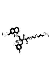 CCCCOCCOCC(=O)N[C@@H](Cc1cc(F)cc(F)c1)[C@H](O)CNC1CCCc2ccc(CC)cc21